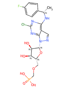 C[C@H](Nc1nc(Cl)nc2c1cnn2[C@@H]1O[C@H](COCP(=O)(O)O)[C@@H](O)[C@H]1O)c1ccc(F)cc1